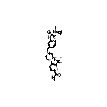 CNC(=O)c1ccc(N2CCN(Cc3ccnc(NS(=O)(=O)NC4CC4)c3)CC2)c(C(F)(F)F)n1